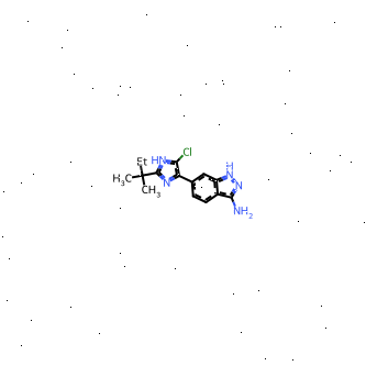 CCC(C)(C)c1nc(-c2ccc3c(N)n[nH]c3c2)c(Cl)[nH]1